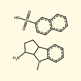 CN1c2ccccc2C2CCC(N)C21.O=S(=O)(O)c1ccc2ccccc2c1